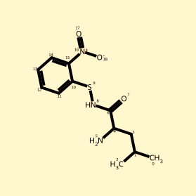 CC(C)CC(N)C(=O)NSc1ccccc1[N+](=O)[O-]